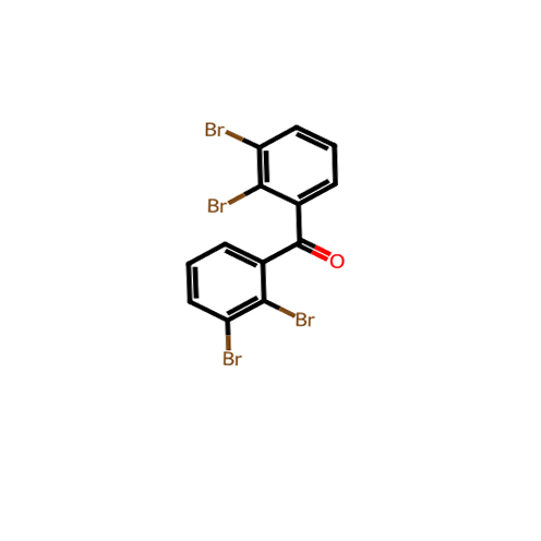 O=C(c1cccc(Br)c1Br)c1cccc(Br)c1Br